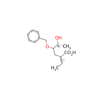 C/C=C(\CC(OCc1ccccc1)[C@@H](C)O)C(=O)O